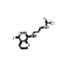 CCC(=O)NCCCNc1n[nH]c(=O)c2cccnc12